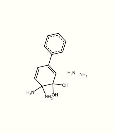 N.N.NC1(N)C=CC(c2ccccc2)=CC1(O)O